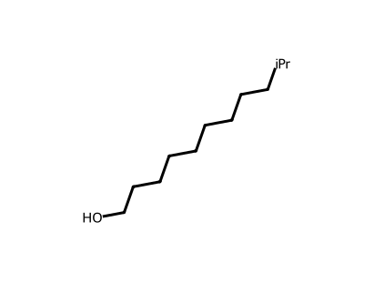 CC(C)CCCCCCCCCO